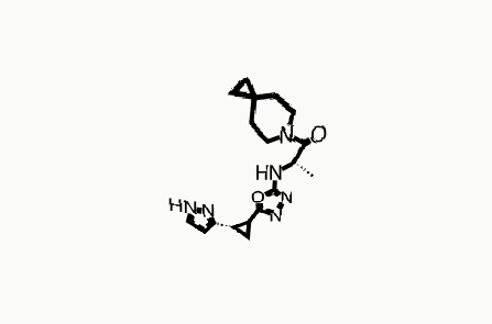 C[C@H](Nc1nnc(C2C[C@@H]2c2cc[nH]n2)o1)C(=O)N1CCC2(CC1)CC2